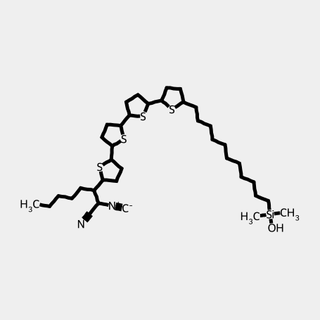 [C-]#[N+]C(C#N)C(CCCCC)C1CCC(C2CCC(C3CCC(C4CCC(CCCCCCCCCCC[Si](C)(C)O)S4)S3)S2)S1